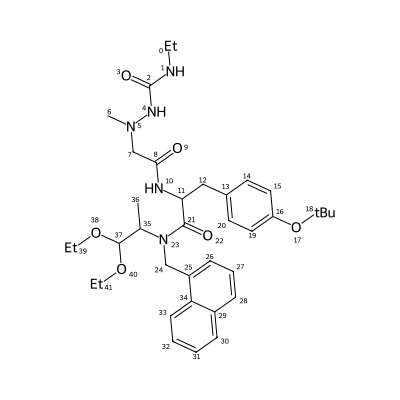 CCNC(=O)NN(C)CC(=O)NC(Cc1ccc(OC(C)(C)C)cc1)C(=O)N(Cc1cccc2ccccc12)C(C)C(OCC)OCC